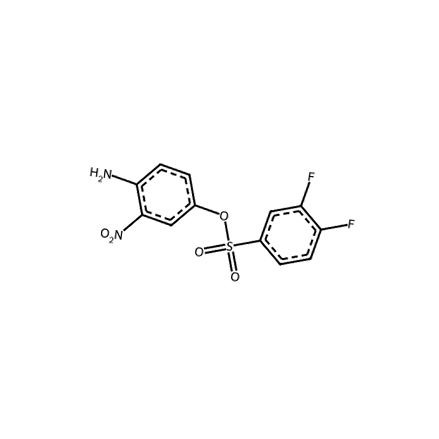 Nc1ccc(OS(=O)(=O)c2ccc(F)c(F)c2)cc1[N+](=O)[O-]